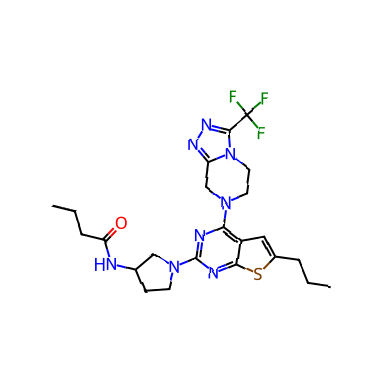 CCCC(=O)NC1CCN(c2nc(N3CCn4c(nnc4C(F)(F)F)C3)c3cc(CCC)sc3n2)C1